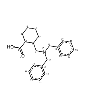 O=C(O)C1CCCCC1CN(Cc1ccccc1)Cc1ccccc1